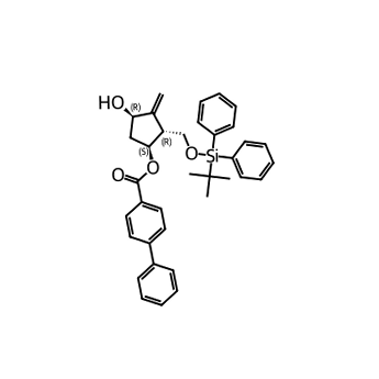 C=C1[C@H](O)C[C@H](OC(=O)c2ccc(-c3ccccc3)cc2)[C@H]1CO[Si](c1ccccc1)(c1ccccc1)C(C)(C)C